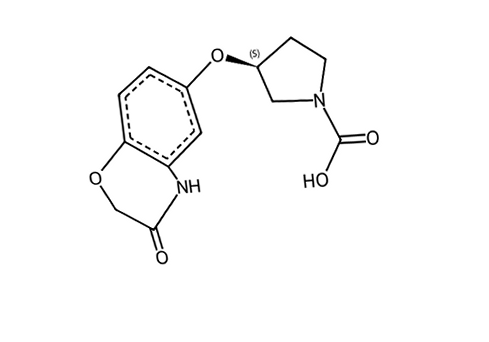 O=C1COc2ccc(O[C@H]3CCN(C(=O)O)C3)cc2N1